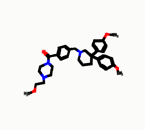 COCCN1CCN(C(=O)c2ccc(CN3CCCC(c4ccc(OC)cc4)(c4ccc(OC)cc4)C3)cc2)CC1